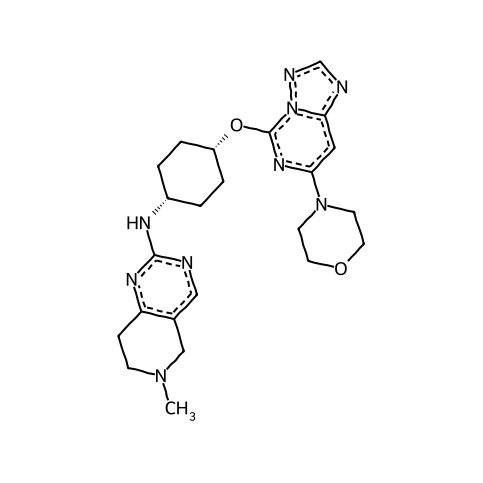 CN1CCc2nc(N[C@H]3CC[C@@H](Oc4nc(N5CCOCC5)cc5ncnn45)CC3)ncc2C1